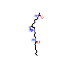 CCCCCCC(=O)NCCCn1cc(CCCCNC(C)=O)nn1